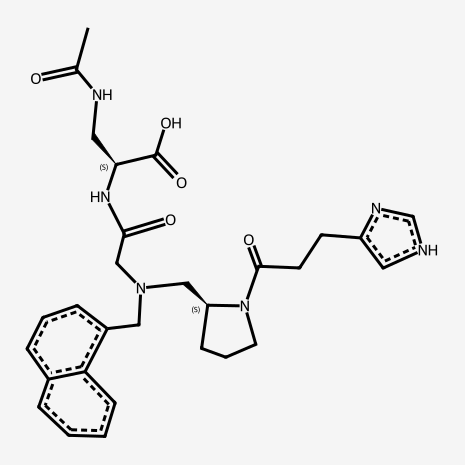 CC(=O)NC[C@H](NC(=O)CN(Cc1cccc2ccccc12)C[C@@H]1CCCN1C(=O)CCc1c[nH]cn1)C(=O)O